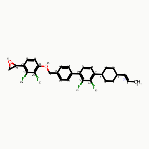 C/C=C/C1CCC(c2ccc(-c3ccc(COc4ccc(C5CO5)c(F)c4F)cc3)c(F)c2F)CC1